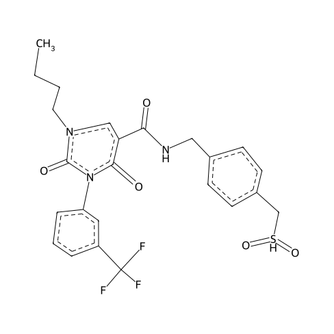 CCCCn1cc(C(=O)NCc2ccc(C[SH](=O)=O)cc2)c(=O)n(-c2cccc(C(F)(F)F)c2)c1=O